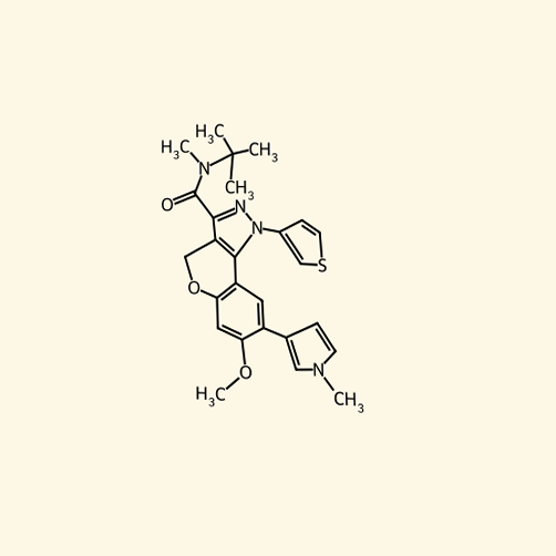 COc1cc2c(cc1-c1ccn(C)c1)-c1c(c(C(=O)N(C)C(C)(C)C)nn1-c1ccsc1)CO2